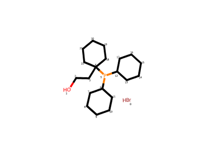 Br.OCCC1(P(C2CCCCC2)C2CCCCC2)CCCCC1